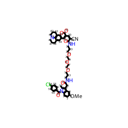 COc1ccc2c(c1)c(CC(=O)NCCCOCCOCCOCCCNC(=O)C(C#N)=Cc1cc3cc4c5c(c3oc1=O)CCCN5CCC4)c(C)n2C(=O)c1ccc(Cl)cc1